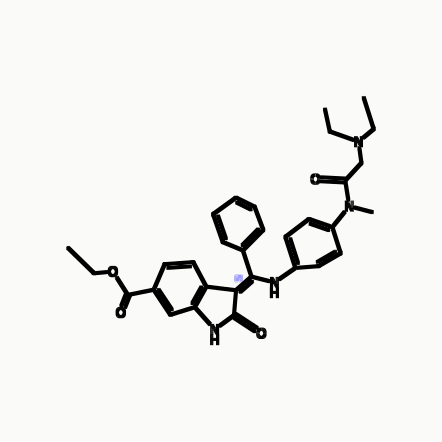 CCOC(=O)c1ccc2c(c1)NC(=O)/C2=C(\Nc1ccc(N(C)C(=O)CN(CC)CC)cc1)c1ccccc1